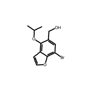 CC(C)Oc1c(CO)cc(Br)c2occc12